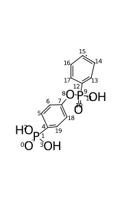 O=P(O)(O)c1ccc(OP(=O)(O)c2cc[c]cc2)cc1